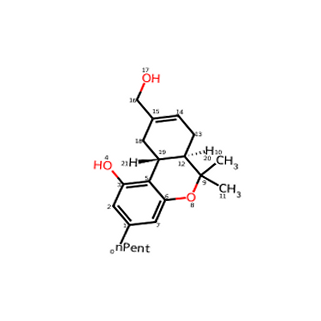 CCCCCc1cc(O)c2c(c1)OC(C)(C)[C@@H]1CC=C(CO)C[C@@H]21